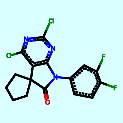 O=C1N(c2ccc(F)c(F)c2)c2nc(Cl)nc(Cl)c2C12CCCC2